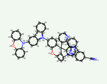 N#Cc1ccc2c(c1)c1ccccc1n2-c1cccc2c1C1(c3ccc(-n4c5ccccc5c5cc(N6c7ccccc7Oc7ccccc76)ccc54)cc3O2)c2cccnc2-c2ncccc21